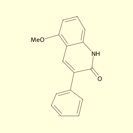 COc1cccc2[nH]c(=O)c(-c3cc[c]cc3)cc12